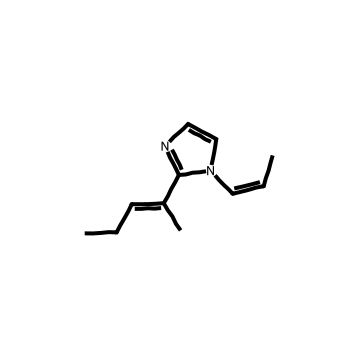 C/C=C\n1ccnc1/C(C)=C/CC